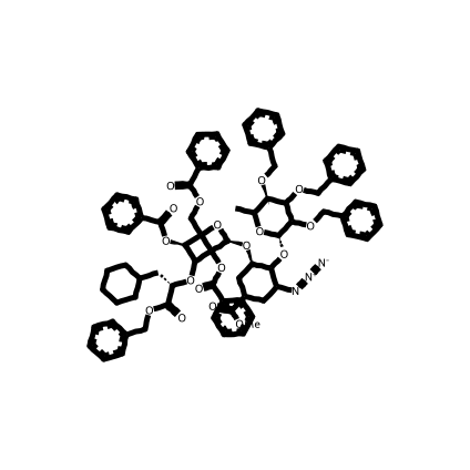 COC(=O)C1CC(N=[N+]=[N-])C(O[C@@H]2OC(C)[C@@H](OCc3ccccc3)C(OCc3ccccc3)C2OCc2ccccc2)[C@H](O[C@@H]2OC3(COC(=O)c4ccccc4)[C@H](OC(=O)c4ccccc4)C(O[C@@H](CC4CCCCC4)C(=O)OCc4ccccc4)C23OC(=O)c2ccccc2)C1